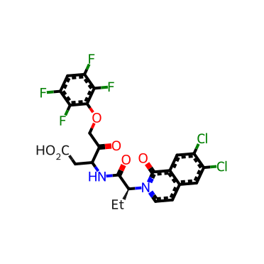 CC[C@@H](C(=O)NC(CC(=O)O)C(=O)COc1c(F)c(F)cc(F)c1F)n1ccc2cc(Cl)c(Cl)cc2c1=O